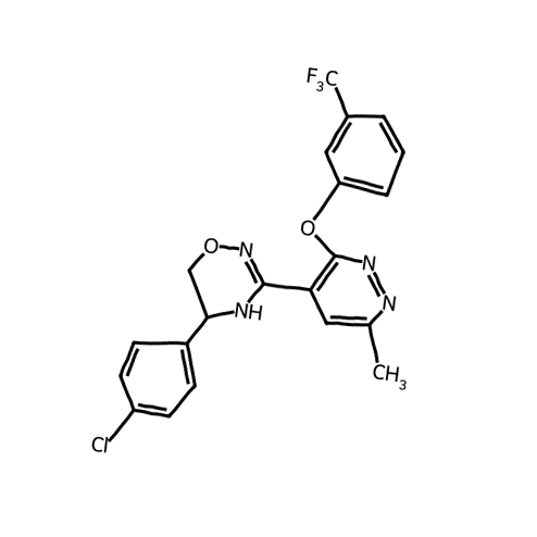 Cc1cc(C2=NOCC(c3ccc(Cl)cc3)N2)c(Oc2cccc(C(F)(F)F)c2)nn1